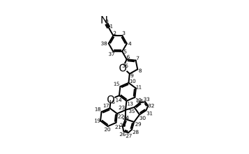 N#Cc1ccc(C2=CCC(c3ccc4c(c3)Oc3ccccc3C43c4ccccc4-c4ccccc43)O2)cc1